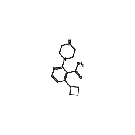 NC(=O)c1c(C2CCC2)ccnc1N1CCNCC1